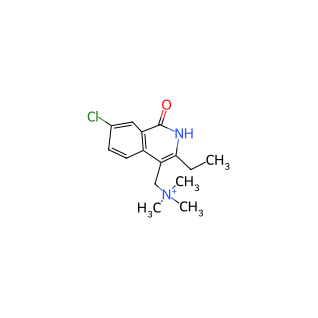 CCc1[nH]c(=O)c2cc(Cl)ccc2c1C[N+](C)(C)C